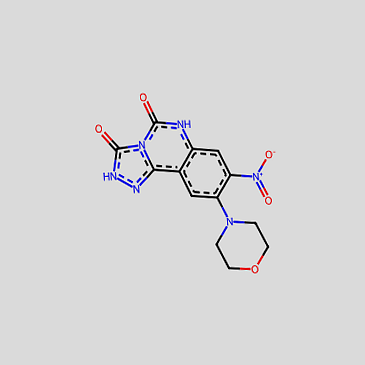 O=c1[nH]nc2c3cc(N4CCOCC4)c([N+](=O)[O-])cc3[nH]c(=O)n12